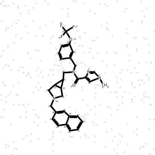 Cn1cnc(C(=O)N(Cc2cccc(OC(F)(F)F)c2)CC2C3CN(Cc4ccc5ccccc5c4)CC32)c1